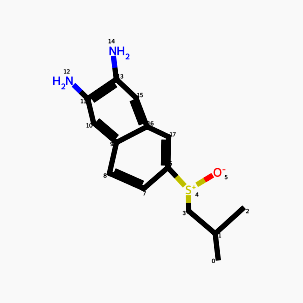 CC(C)C[S+]([O-])c1ccc2cc(N)c(N)cc2c1